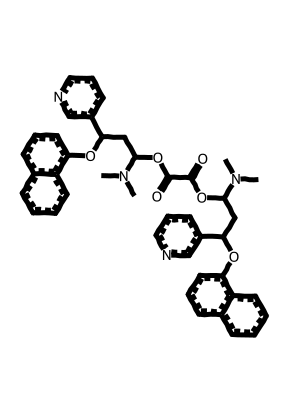 CN(C)C(CC(Oc1cccc2ccccc12)c1cccnc1)OC(=O)C(=O)OC(CC(Oc1cccc2ccccc12)c1cccnc1)N(C)C